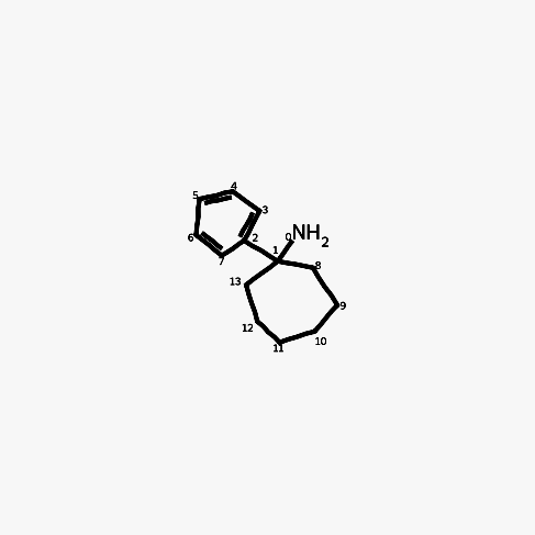 NC1(c2ccccc2)CCCCCC1